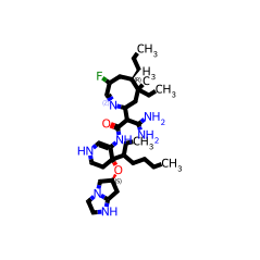 CCCCC(CC)C1(O[C@H]2CC3NCCN3C2)CCNC=C1NC(=O)C(C(N)N)C1CC(C)(CC)[C@H](CCC)CC(F)/C=N\1